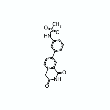 CS(=O)(=O)Nc1cccc(-c2ccc3c(c2)C(=O)NC(=O)C3)c1